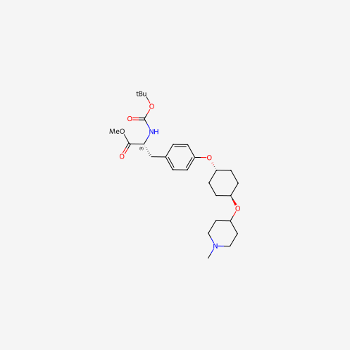 COC(=O)[C@@H](Cc1ccc(O[C@H]2CC[C@H](OC3CCN(C)CC3)CC2)cc1)NC(=O)OC(C)(C)C